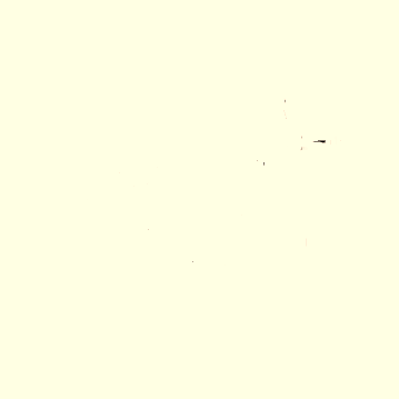 CC(C)(C)[S@+]([O-])N=CC(c1cccc(C(F)F)c1F)c1cccc(C(F)F)c1F